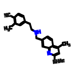 CC(=O)Nc1cc(C)c2ccc(CNCCc3ccc(C#N)c(C)c3)cc2n1